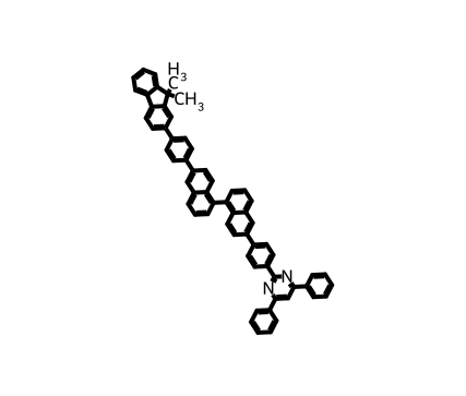 CC1(C)c2ccccc2-c2ccc(-c3ccc(-c4ccc5c(-c6cccc7cc(-c8ccc(-c9nc(-c%10ccccc%10)cc(-c%10ccccc%10)n9)cc8)ccc67)cccc5c4)cc3)cc21